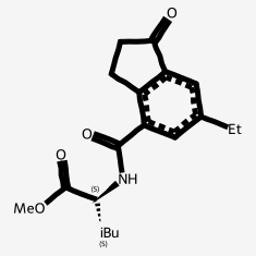 CCc1cc2c(c(C(=O)N[C@H](C(=O)OC)[C@@H](C)CC)c1)CCC2=O